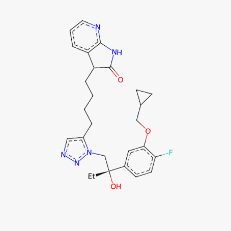 CC[C@@](O)(Cn1nncc1CCCCC1C(=O)Nc2ncccc21)c1ccc(F)c(OCC2CC2)c1